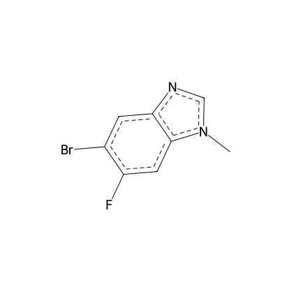 Cn1cnc2cc(Br)c(F)cc21